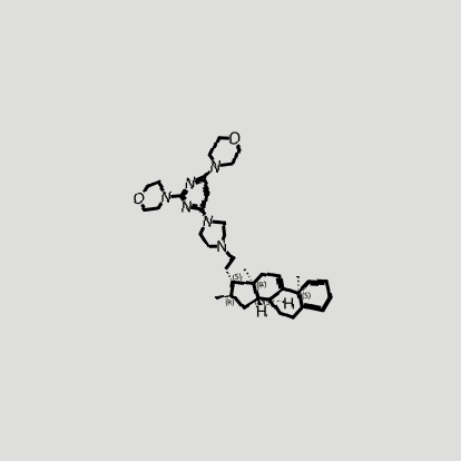 C[C@@H]1C[C@H]2[C@@H]3CCC4=CCC=C[C@]4(C)C3=CC[C@]2(C)[C@H]1CCN1CCN(c2cc(N3CCOCC3)nc(N3CCOCC3)n2)CC1